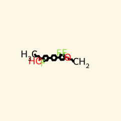 C=CCCOc1ccc(C2CCC(c3ccc(C(O)CCC)c(F)c3)CC2)c(F)c1F